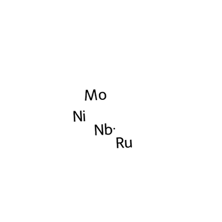 [Mo].[Nb].[Ni].[Ru]